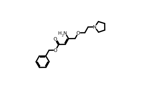 NC(=CC(=O)OCc1ccccc1)COCCN1CCCC1